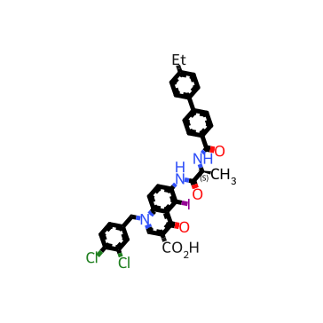 CCc1ccc(-c2ccc(C(=O)N[C@@H](C)C(=O)Nc3ccc4c(c3I)c(=O)c(C(=O)O)cn4Cc3ccc(Cl)c(Cl)c3)cc2)cc1